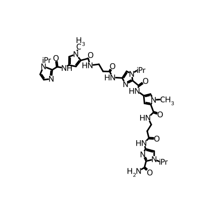 CC(C)n1cc(NC(=O)CCNC(=O)c2cc(NC(=O)c3nc(NC(=O)CCNC(=O)c4cc(NC(=O)c5nccn5C(C)C)cn4C)cn3C(C)C)cn2C)nc1C(N)=O